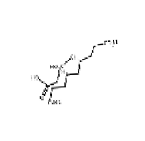 CC(=O)O.CCC(=O)O.CCCCCCCCCCCCCCCCCC(=O)O